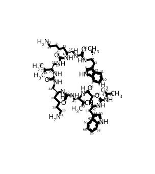 CC[C@H](Cc1c[nH]c2ccccc12)NC(=O)NC[C@H](CCCCN)NC(=O)NC[C@@H](NC(=O)NC[C@H](CCCCN)NC(=O)NC[C@@H](NC(=O)CC[C@H](Cc1c[nH]c2ccccc12)NC(=O)NC(C)C)C(C)C)C(C)C